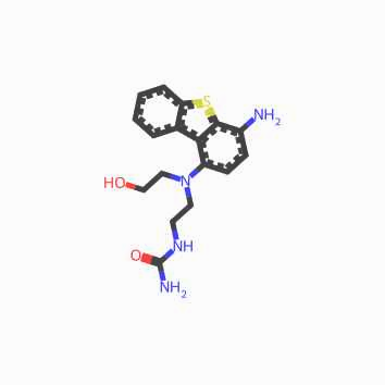 NC(=O)NCCN(CCO)c1ccc(N)c2sc3ccccc3c12